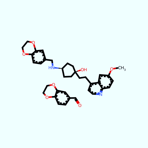 COc1ccc2nccc(CC[C@]3(O)CC[C@@H](NCc4ccc5c(c4)OCCO5)CC3)c2c1.O=Cc1ccc2c(c1)OCCO2